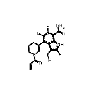 C=CC(=O)N1CCCC(c2c(F)c(F)c(C(N)=O)c3[nH]c(C)c(CF)c23)C1